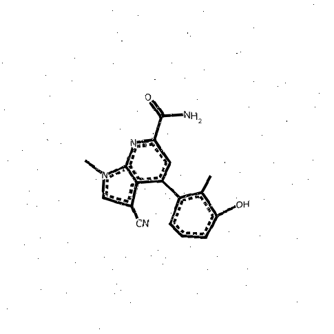 Cc1c(O)cccc1-c1cc(C(N)=O)nc2c1c(C#N)cn2C